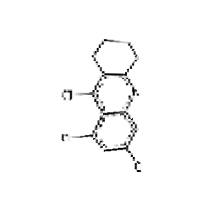 Clc1cc(Cl)c2c(Cl)c3c(nc2c1)CCCC3